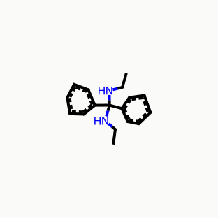 CCNC(NCC)(c1ccccc1)c1ccccc1